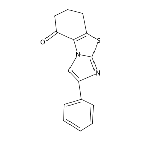 O=C1CCCc2sc3nc(-c4ccccc4)cn3c21